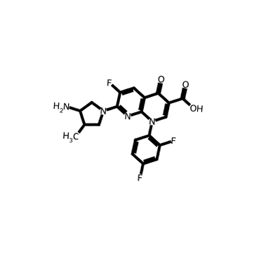 CC1CN(c2nc3c(cc2F)c(=O)c(C(=O)O)cn3-c2ccc(F)cc2F)CC1N